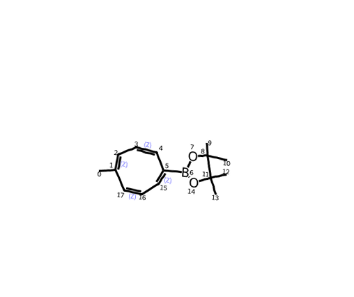 CC1=C/C=C\C(B2OC(C)(C)C(C)(C)O2)=C/C=C\1